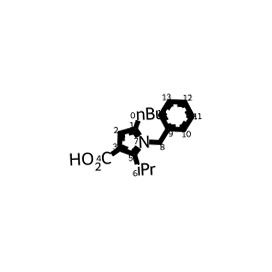 CCCCc1cc(C(=O)O)c(C(C)C)n1Cc1ccccc1